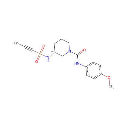 CC(C)C#CS(=O)(=O)N[C@@H]1CCCN(C(=O)Nc2ccc(OC(F)(F)F)cc2)C1